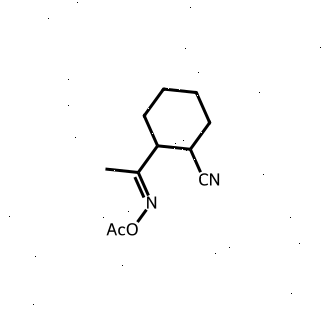 CC(=O)ON=C(C)C1CCCCC1C#N